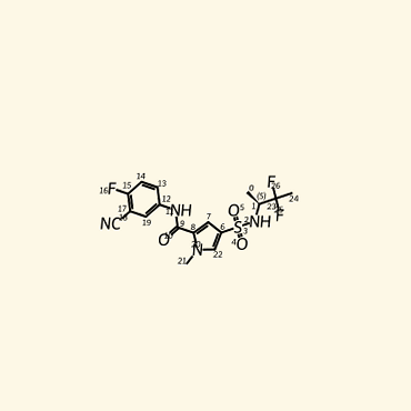 C[C@H](NS(=O)(=O)c1cc(C(=O)Nc2ccc(F)c(C#N)c2)n(C)c1)C(C)(F)F